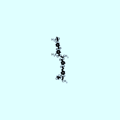 CCCC(OCC1(C)COC1)Oc1ccc(CCC(=O)Oc2ccc(C(=O)OC(C)COC(=O)c3ccc(OC(=O)c4ccc(OCC5(C)CO5)cc4)cc3C)cc2)cc1